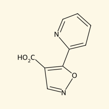 O=C(O)c1cnoc1-c1ccccn1